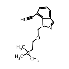 C#Cc1cccc2cnn(COCC[Si](C)(C)C)c12